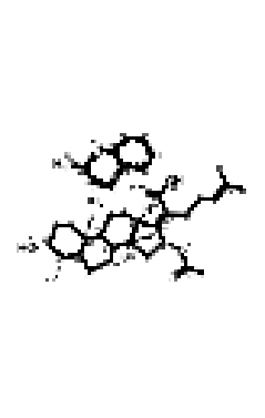 CC(=O)O[C@H]1C[C@@]2(C)[C@H](C[C@@H](O)C3[C@@]4(C)CC[C@@H](O)[C@@H](C)C4CC[C@@]32C)C1=C(CCC=C(C)C)C(=O)O.Nc1ccc2ccccc2n1